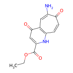 CCOC(=O)c1cc(=O)c2cc(N)c(=O)ccc2[nH]1